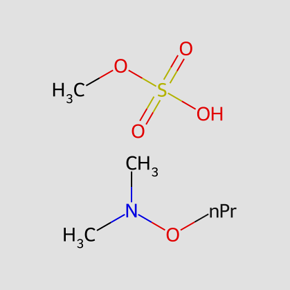 CCCON(C)C.COS(=O)(=O)O